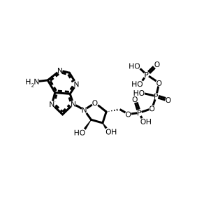 Nc1ncnc2c1ncn2N1O[C@H](COP(=O)(O)OP(=O)(O)OP(=O)(O)O)[C@@H](O)[C@H]1O